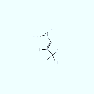 FC(=CN(C(F)(F)F)C(F)(F)F)C(F)(F)C(F)(F)F